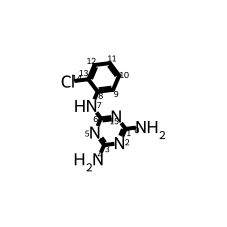 Nc1nc(N)nc(Nc2ccccc2Cl)n1